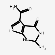 NC(=O)c1c[nH]c2c1C(=O)NC(N)N2